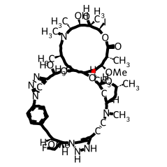 CO[C@H]1[C@H](C)[C@H]2O[C@H]3C[C@H](C[C@@H](C)O3)N(C)CCC3=CN(NN3)[C@H](CF)[C@H](OC)c3ccc(cc3)-n3cc(nn3)C(O)O[C@]2(C)C[C@@H](C)CN(C)[C@H](C)[C@@H](O)[C@](C)(O)[C@@H](I)OC(=O)[C@@H]1C